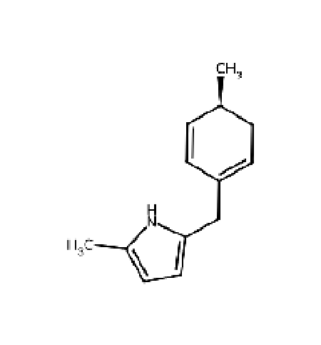 Cc1ccc(CC2=CC[C@H](C)C=C2)[nH]1